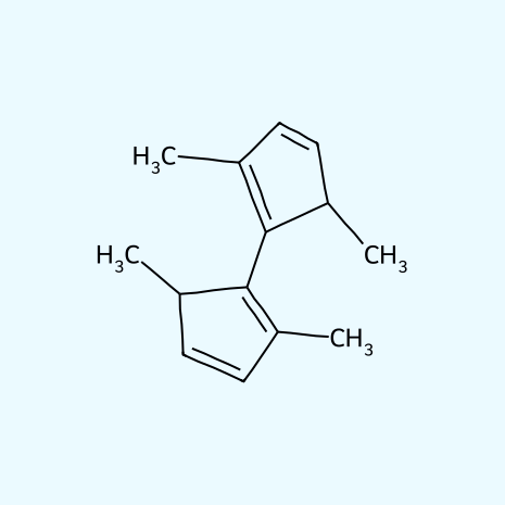 CC1=C(C2=C(C)C=CC2C)C(C)C=C1